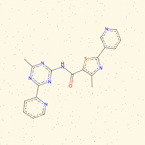 Cc1nc(NC(=O)c2sc(-c3cccnc3)nc2C)nc(-c2ccccn2)n1